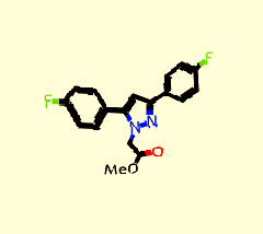 COC(=O)Cn1nc(-c2ccc(F)cc2)cc1-c1ccc(F)cc1